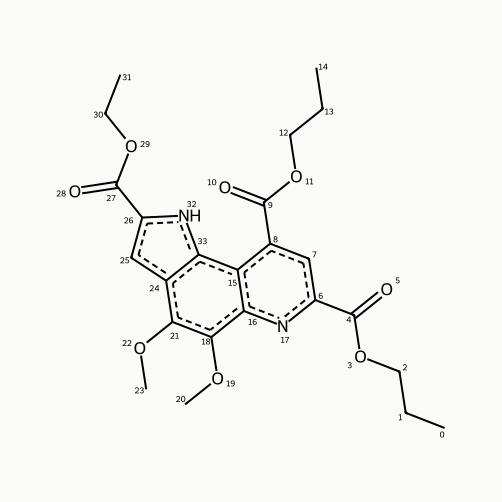 CCCOC(=O)c1cc(C(=O)OCCC)c2c(n1)c(OC)c(OC)c1cc(C(=O)OCC)[nH]c12